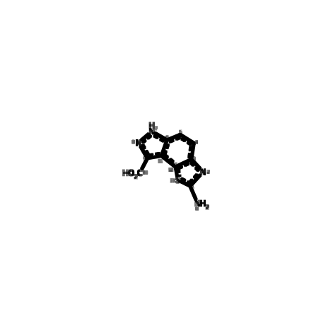 Nc1nc2ccc3[nH]nc(C(=O)O)c3c2s1